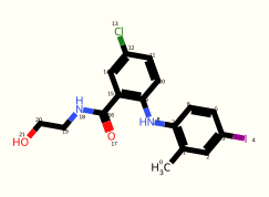 Cc1cc(I)ccc1Nc1ccc(Cl)cc1C(=O)NCCO